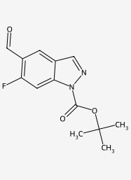 CC(C)(C)OC(=O)n1ncc2cc(C=O)c(F)cc21